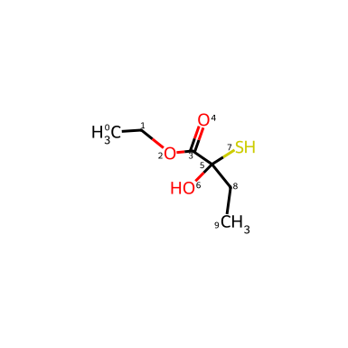 CCOC(=O)C(O)(S)CC